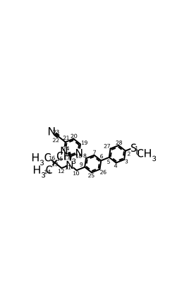 CSc1ccc(-c2ccc(CN(CC(C)(C)C)c3nccc(C#N)n3)cc2)cc1